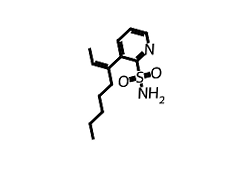 C/C=C(/CCCCC)c1cccnc1S(N)(=O)=O